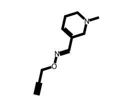 C#CCON=CC1=CCCN(C)C1